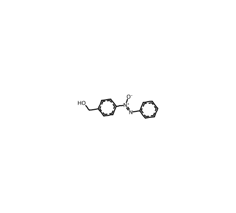 [O-][N+](=Nc1ccccc1)c1ccc(CO)cc1